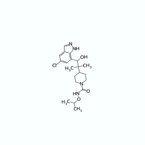 CC(C)ONC(=O)N1CCC(C(C)(C)C(O)c2cc(Cl)cc3cn[nH]c23)CC1